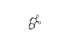 O=C1C=Cc2cc[c]cc2C1=O